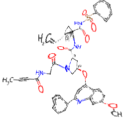 C=C[C@@H]1C[C@]1(NC(=O)[C@@H]1C[C@@H](Oc2cc(-c3ccccc3)nc3cc(OC)ccc23)CN1C(=O)CNC(=O)C#CC)C(=O)NS(=O)(=O)c1ccccc1